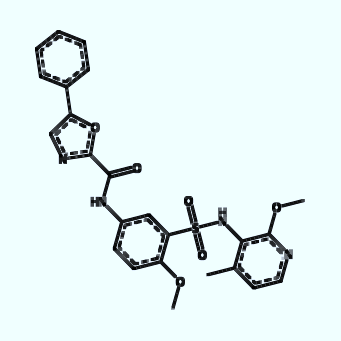 COc1ccc(NC(=O)c2ncc(-c3ccccc3)o2)cc1S(=O)(=O)Nc1c(C)ccnc1OC